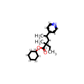 CCC(C)(CC(C)c1ccncc1)C(=O)OC1CCCCC1